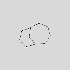 C1CCC2CCC[C](C1)C2